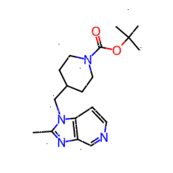 Cc1nc2cnccc2n1CC1CCN(C(=O)OC(C)(C)C)CC1